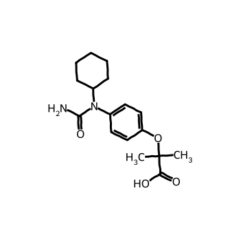 CC(C)(Oc1ccc(N(C(N)=O)C2CCCCC2)cc1)C(=O)O